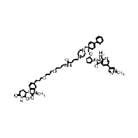 Cn1cc(-c2cnc(N)c(C(=O)N[C@H]3CCC[C@@H]3OCC3(CN4CCN(CCCC(=O)NCCCOCCCOCCCc5ccc6c(c5)n(C)c(=O)n6C5CCC(=O)NC5=O)CC4)C=CC(c4ccccc4)=CC3)c2)cn1